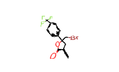 C=C1CC(CBr)(c2ccc(C(F)(F)F)cc2)OC1=O